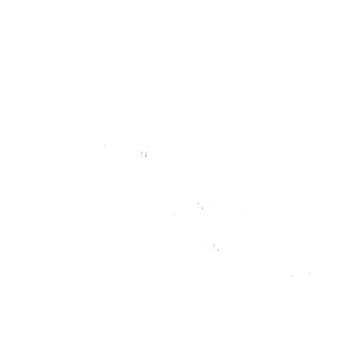 O=C(c1ccccc1-c1ccccc1)N1CC2=CN(c3nc4ccc(Cl)cc4s3)CC2C1